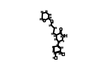 O=C1NCC(c2ccc(Cl)c(Cl)c2)CC1CCCOC1CCCCO1